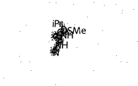 CSCC[C@H](NC(=O)c1ccc(NCc2cccnc2)cc1-c1ccccc1)C(=O)OCCC(C)C